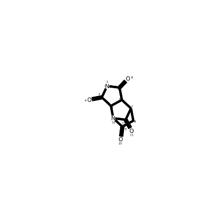 O=C1[N]C(=O)C2C1C1CC(=O)N2C1=O